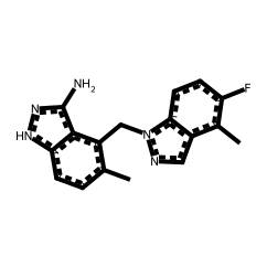 Cc1ccc2[nH]nc(N)c2c1Cn1ncc2c(C)c(F)ccc21